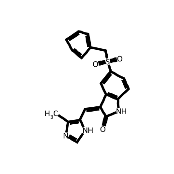 Cc1nc[nH]c1/C=C1\C(=O)Nc2ccc(S(=O)(=O)Cc3ccccc3)cc21